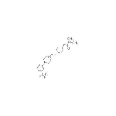 CN(C)C(=O)C[C@H]1CC[C@H](CCN2CCN(c3cccc(C(F)(F)F)c3)CC2)CC1